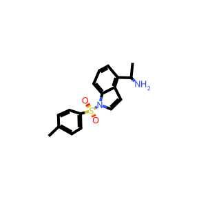 Cc1ccc(S(=O)(=O)n2ccc3c(C(C)N)cccc32)cc1